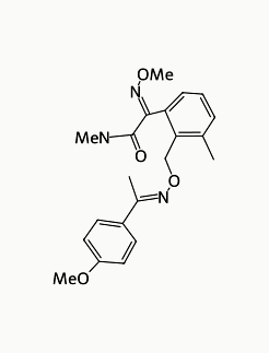 CNC(=O)/C(=N/OC)c1cccc(C)c1CO/N=C(\C)c1ccc(OC)cc1